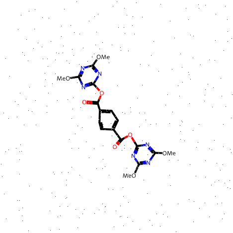 COc1nc(OC)nc(OC(=O)c2ccc(C(=O)Oc3nc(OC)nc(OC)n3)cc2)n1